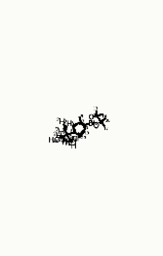 [2H]C([2H])([2H])C(c1cc(C)c(B2OC(C)(C)C(C)(C)O2)cc1Cl)(C([2H])([2H])[2H])C([2H])([2H])O